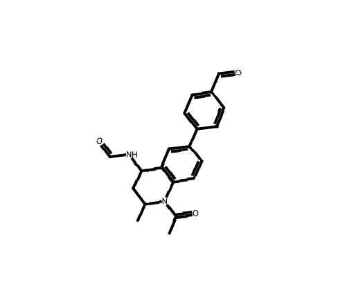 CC(=O)N1c2ccc(-c3ccc(C=O)cc3)cc2C(NC=O)CC1C